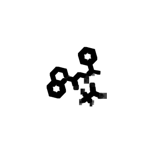 C[C@@H](NCC(=O)N1CCCc2ccccc21)c1ccccc1.O=C(O)C(F)(F)F